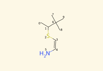 CC(S/C=C\N)C(C)(C)C